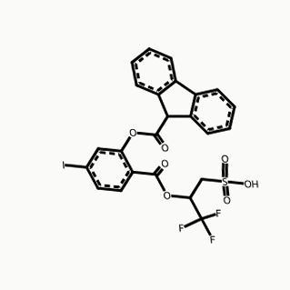 O=C(OC(CS(=O)(=O)O)C(F)(F)F)c1ccc(I)cc1OC(=O)C1c2ccccc2-c2ccccc21